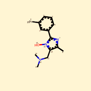 CCCc1cccc(-c2nc(C)c(CN(C)C)n2O)c1